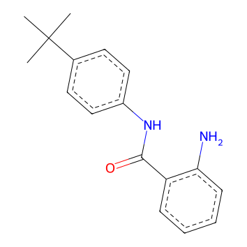 CC(C)(C)c1ccc(NC(=O)c2ccccc2N)cc1